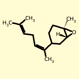 CC(C)=CC/C=C(/C)C1CC[C@@]2(C)O[C@@H]2C1